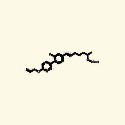 C=CCOc1ccc(-c2ccc(/C=C/CCCC(C)OCCCCC)cc2F)nn1